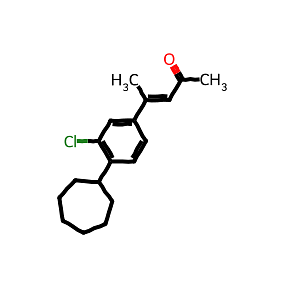 CC(=O)/C=C(\C)c1ccc(C2CCCCCC2)c(Cl)c1